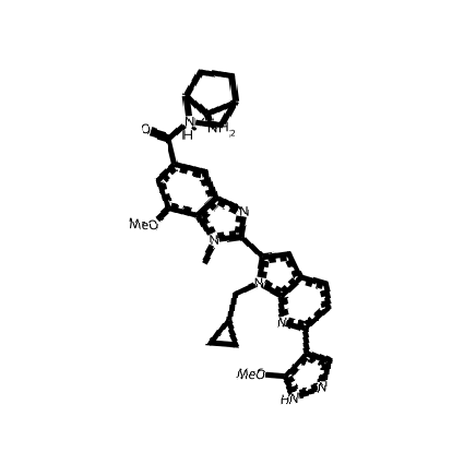 COc1[nH]ncc1-c1ccc2cc(-c3nc4cc(C(=O)N5CC6CCC5[C@@H]6N)cc(OC)c4n3C)n(CC3CC3)c2n1